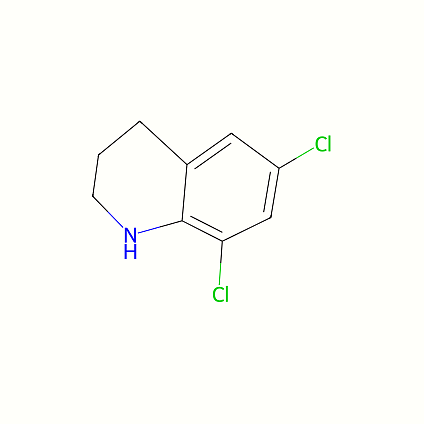 Clc1cc(Cl)c2c(c1)CCCN2